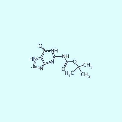 CC(C)(C)OC(=O)Nc1nc2n[c][nH]c2c(=O)[nH]1